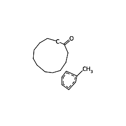 Cc1ccccc1.O=C1CCCCCCCCCCC1